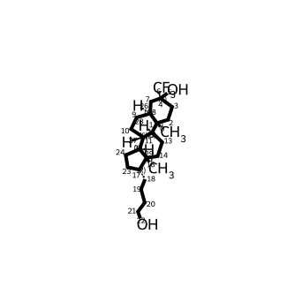 C[C@]12CC[C@@](O)(C(F)(F)F)C[C@@H]1CC[C@@H]1[C@@H]2CC[C@]2(C)[C@H](CCCCO)CC[C@@H]12